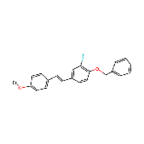 CCOc1ccc(/C=C/c2ccc(OCc3ccccc3)c(F)c2)cc1